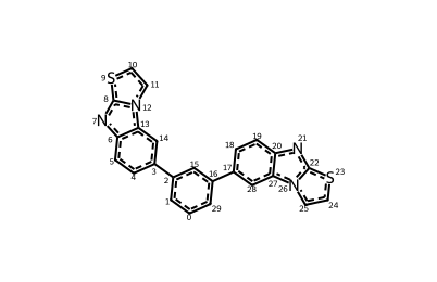 c1cc(-c2ccc3nc4sccn4c3c2)cc(-c2ccc3nc4sccn4c3c2)c1